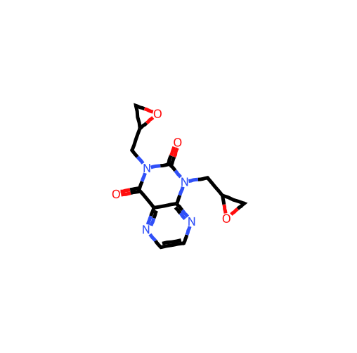 O=c1c2nccnc2n(CC2CO2)c(=O)n1CC1CO1